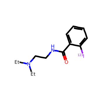 CCN(CC)CCNC(=O)c1ccccc1[123I]